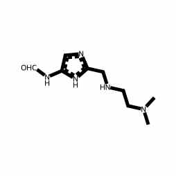 CN(C)CCNCc1ncc(NC=O)[nH]1